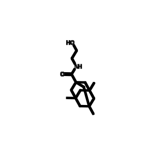 CC12CC3(C)CC(C)(C1)CC(C(=O)NCCO)(C2)C3